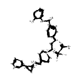 Nc1ccccc1NC(=O)c1ccc(CCCN2CCC(CNC3CC3c3cccnc3)CC2)cc1.O=C(O)C(F)(F)F